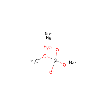 CO[Si]([O-])([O-])[O-].O.[Na+].[Na+].[Na+]